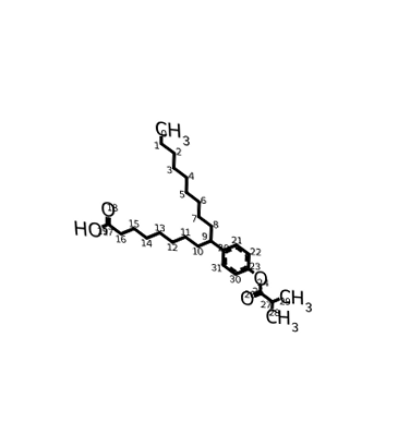 CCCCCCCCCC(CCCCCCCC(=O)O)c1ccc(OC(=O)C(C)C)cc1